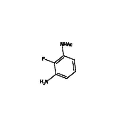 CC(=O)Nc1cccc(N)c1F